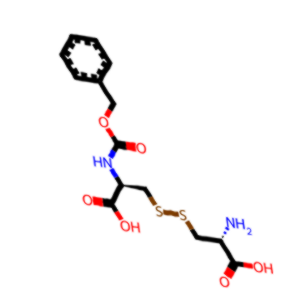 N[C@@H](CSSC[C@H](NC(=O)OCc1ccccc1)C(=O)O)C(=O)O